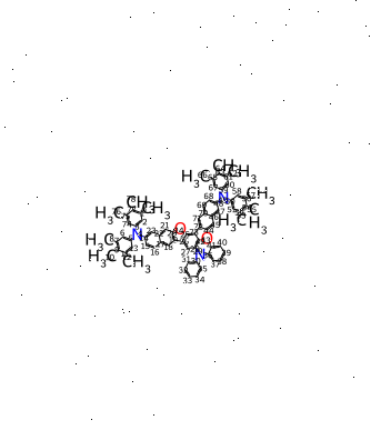 Cc1cc(N(c2cc(C)c(C)c(C)c2)c2ccc3cc4c(cc3c2)oc2c4cc(N(c3ccccc3)c3ccccc3)c3oc4cc5cc(N(c6cc(C)c(C)c(C)c6)c6cc(C)c(C)c(C)c6)ccc5cc4c32)cc(C)c1C